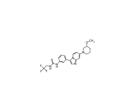 COC1CCCN(c2ccn3c(-c4cccc(NC(=O)NCC(F)(F)F)c4)cnc3c2)C1